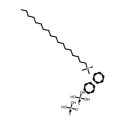 CCCCCCCCCCCCCCCCCC[N+](C)(C)C.OP(O)(O)=S.[O-]P(O)(O)=S.c1ccccc1.c1ccccc1